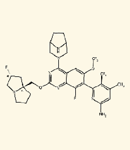 Cc1cc(N)nc(-c2c(OC(F)(F)F)cc3c(N4CC5CCC(C4)N5)nc(OC[C@@]45CCCN4C[C@H](F)C5)nc3c2F)c1C(F)(F)F